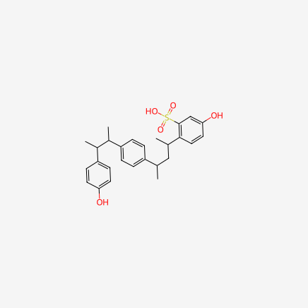 CC(CC(C)c1ccc(O)cc1S(=O)(=O)O)c1ccc(C(C)C(C)c2ccc(O)cc2)cc1